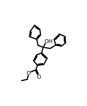 CCOC(=O)c1ccc(C(O)(Cc2ccccc2)Cc2ccccc2)cc1